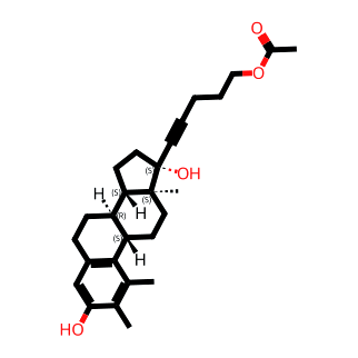 CC(=O)OCCCC#C[C@]1(O)CC[C@H]2[C@@H]3CCc4cc(O)c(C)c(C)c4[C@H]3CC[C@@]21C